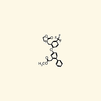 COC(=O)Cc1cc(Oc2ccc(C(F)(F)F)cc2CN2CCOC2=O)ccc1-c1ccccc1